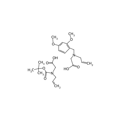 C=CCN(CC(=O)O)C(=O)OC(C)(C)C.C=CCN(CC(=O)O)Cc1ccc(OC)cc1OC